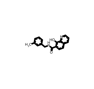 Cc1cccc(CNC(=O)c2ccc3cccnc3c2O)c1